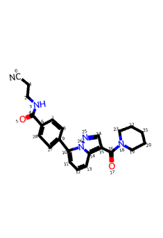 N#CCCNC(=O)c1ccc(-c2cccc3c(C(=O)N4CCCCC4)cnn23)cc1